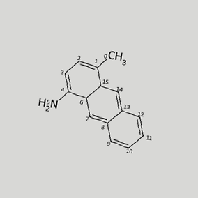 CC1=CC=C(N)C2C=c3ccccc3=CC12